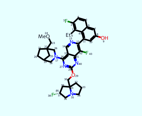 CCc1c(F)ccc2cc(O)cc(-c3ncc4c(N5CC6CCC(COC)(C6)C5)nc(OCC56CCCN5C[C@H](F)C6)nc4c3F)c12